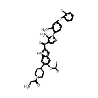 Cc1cc(Oc2ccccc2F)ccc1-n1ncc(C(=O)c2cc3cc(OC(F)F)c(C4CCN(C(=O)CN)CC4)cc3[nH]2)c1N